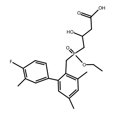 CCOP(=O)(Cc1c(C)cc(C)cc1-c1ccc(F)c(C)c1)CC(O)CC(=O)O